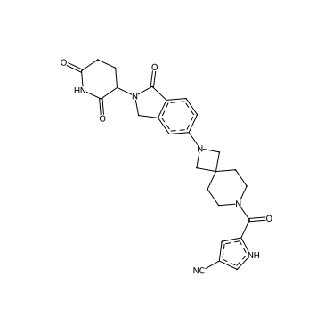 N#Cc1c[nH]c(C(=O)N2CCC3(CC2)CN(c2ccc4c(c2)CN(C2CCC(=O)NC2=O)C4=O)C3)c1